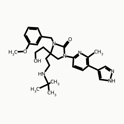 COc1cccc(CN2C(=O)N(c3ccc(-c4cn[nH]c4)c(C)n3)CC2(CCO)CCNC(C)(C)C)c1